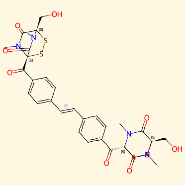 CN1C(=O)[C@]2(CO)SS[C@@]1(C(=O)c1ccc(/C=C/c3ccc(C(=O)[C@@]45SS[C@@](CO)(C(=O)N4C)N(C)C5=O)cc3)cc1)C(=O)N2C